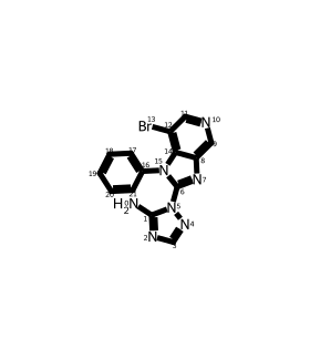 Nc1ncnn1-c1nc2cncc(Br)c2n1-c1ccccc1